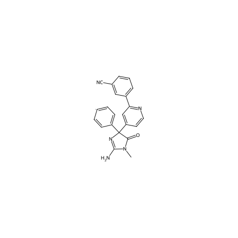 CN1C(=O)C(c2cc[c]cc2)(c2ccnc(-c3cccc(C#N)c3)c2)N=C1N